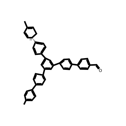 CC1=CC[C@H](c2ccc(-c3cc(-c4ccc(-c5ccc(C)cc5)cc4)cc(-c4ccc(-c5ccc(C=O)cc5)cc4)c3)cc2)C=C1